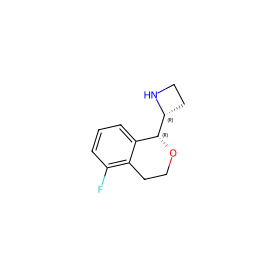 Fc1cccc2c1CCO[C@H]2[C@H]1CCN1